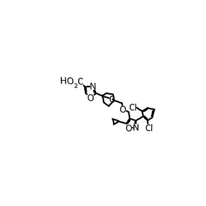 O=C(O)c1coc(C23CCC(COCc4c(-c5c(Cl)cccc5Cl)noc4C4CC4)(CC2)CC3)n1